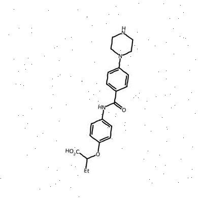 CCC(Oc1ccc(NC(=O)c2ccc(N3CCNCC3)cc2)cc1)C(=O)O